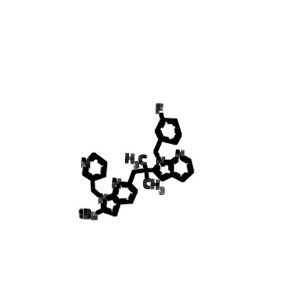 CC(C)(C)c1cc2ccc(CC(C)(C)c3cc4cccnc4n3Cc3cccc(F)c3)nc2n1Cc1cccnc1